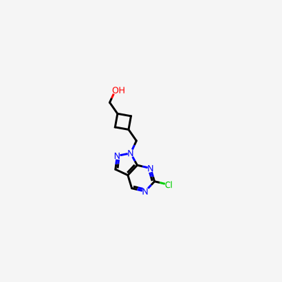 OCC1CC(Cn2ncc3cnc(Cl)nc32)C1